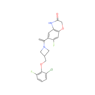 C=C(c1cc2c(cc1F)OCC(=O)N2)N1CC(COc2c(F)cccc2Cl)C1